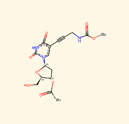 CC(C)(C)OC(=O)NCC#Cc1cn([C@H]2C[C@H](OC(=O)C(C)(C)C)[C@@H](CO)O2)c(=O)[nH]c1=O